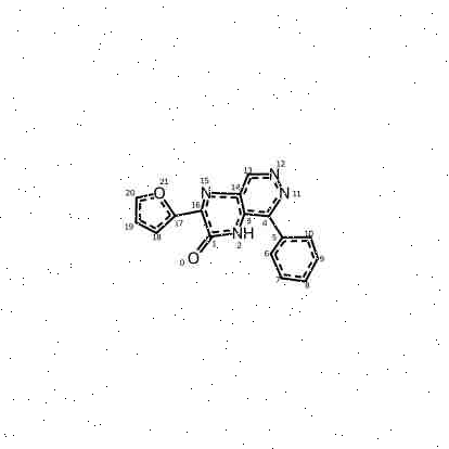 O=c1[nH]c2c(-c3ccccc3)nncc2nc1-c1ccco1